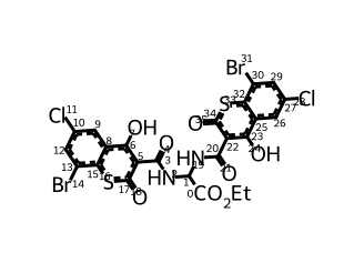 CCOC(=O)C(NC(=O)c1c(O)c2cc(Cl)cc(Br)c2sc1=O)NC(=O)c1c(O)c2cc(Cl)cc(Br)c2sc1=O